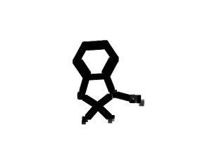 CN1c2ccccc2OC1(F)F